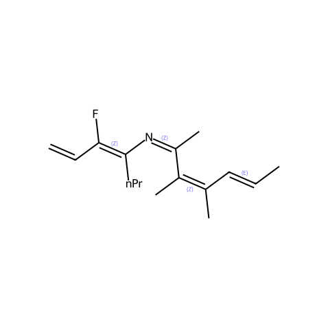 C=C/C(F)=C(CCC)/N=C(C)\C(C)=C(C)/C=C/C